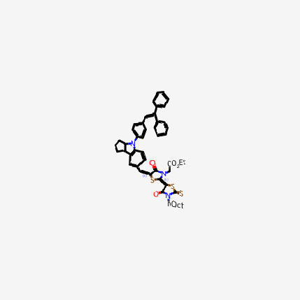 CCCCCCCCN1C(=O)/C(=c2\s/c(=C/c3ccc4c(c3)C3CCCC3N4c3ccc(C=C(c4ccccc4)c4ccccc4)cc3)c(=O)n2CC(=O)OCC)SC1=S